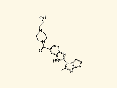 Cc1nc2sccn2c1-c1nc2ccc(C(=O)N3CCN(CCO)CC3)cc2[nH]1